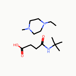 CC(C)(C)NC(=O)CCC(=O)O.CCN1CCN(C)CC1